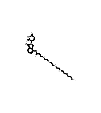 NCCOCCNCCOCCOCCOCCC(=O)Nc1cccc2c1CN(C1CCC(=O)NC1=O)C2=O